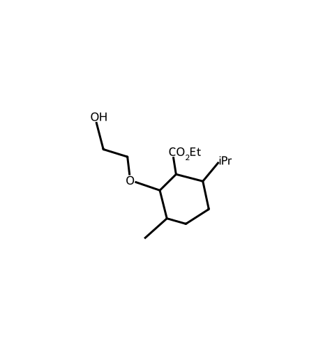 CCOC(=O)C1C(C(C)C)CCC(C)C1OCCO